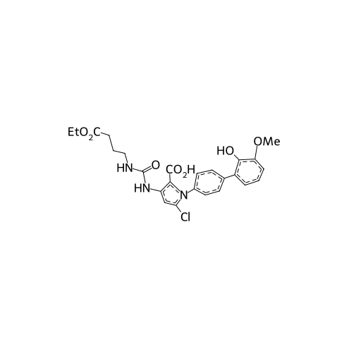 CCOC(=O)CCCNC(=O)Nc1cc(Cl)n(-c2ccc(-c3cccc(OC)c3O)cc2)c1C(=O)O